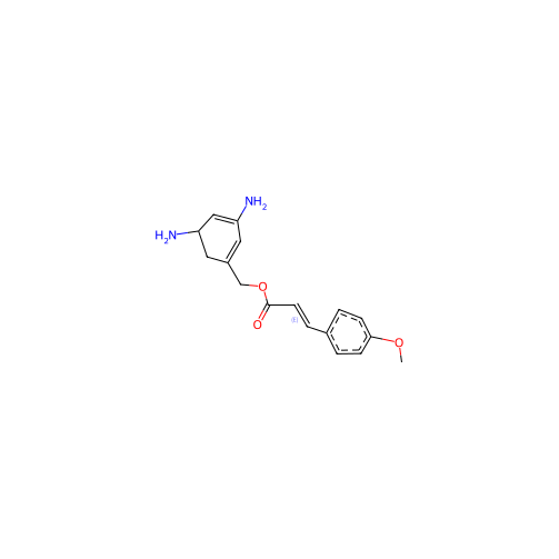 COc1ccc(/C=C/C(=O)OCC2=CC(N)=CC(N)C2)cc1